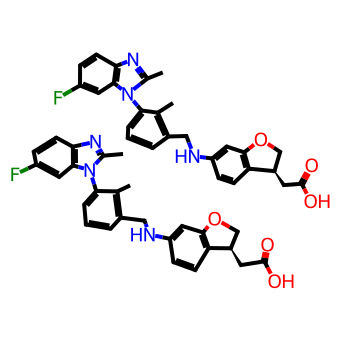 Cc1c(CNc2ccc3c(c2)OC[C@H]3CC(=O)O)cccc1-n1c(C)nc2ccc(F)cc21.Cc1c(CNc2ccc3c(c2)OC[C@H]3CC(=O)O)cccc1-n1c(C)nc2ccc(F)cc21